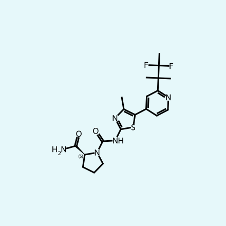 Cc1nc(NC(=O)N2CCC[C@H]2C(N)=O)sc1-c1ccnc(C(C)(C)C(C)(F)F)c1